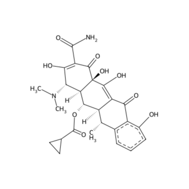 C[C@H]1c2cccc(O)c2C(=O)C2=C(O)[C@@]3(O)C(=O)C(C(N)=O)=C(O)[C@@H](N(C)C)[C@@H]3[C@@H](OC(=O)C3CC3)[C@@H]21